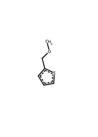 CO[CH]c1cccs1